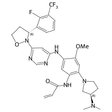 C=CC(=O)Nc1cc(Nc2cc(N3OCC[C@@H]3c3cccc(C(F)(F)F)c3F)ncn2)c(OC)cc1N1CC[C@@H](N(C)C)C1